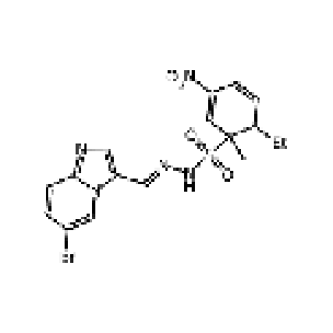 CCC1C=CC([N+](=O)[O-])=CC1(C)S(=O)(=O)NN=Cc1cnc2ccc(Br)cn12